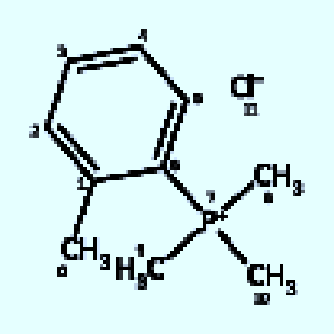 Cc1ccccc1[P+](C)(C)C.[Cl-]